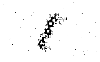 C=C(C(=O)O)N(C)C(=O)c1ccc(-c2ccc(NC(=O)c3ccc(C)c(C)c3)cc2)cc1